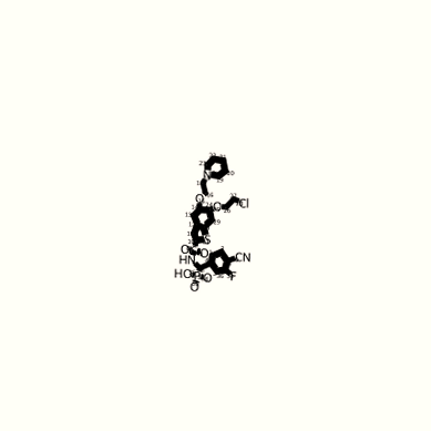 N#Cc1ccc(C(NS(=O)(=O)c2cc3cc(OCC[n+]4ccccc4)c(OCCCl)cc3s2)P(=O)([O-])O)cc1F